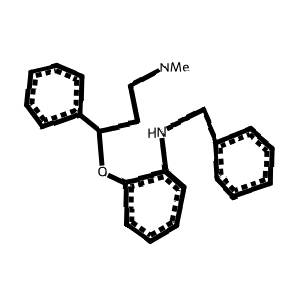 CNCCC(Oc1ccccc1NCc1ccccc1)c1ccccc1